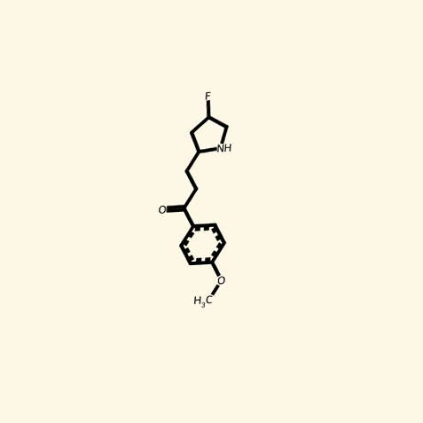 COc1ccc(C(=O)CCC2CC(F)CN2)cc1